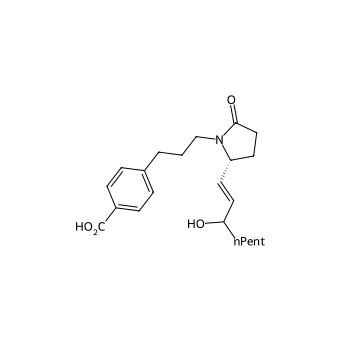 CCCCCC(O)C=C[C@H]1CCC(=O)N1CCCc1ccc(C(=O)O)cc1